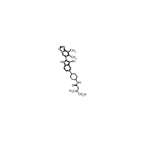 Cc1c(-c2[nH]c3ccc(C4CCC(NC(=O)CN(C)C(=O)O)CC4)cc3c2C(C)C)cn2ncnc2c1C